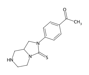 CC(=O)c1ccc(N2CC3CNCCN3C2=S)cc1